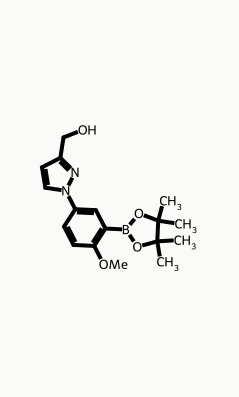 COc1ccc(-n2ccc(CO)n2)cc1B1OC(C)(C)C(C)(C)O1